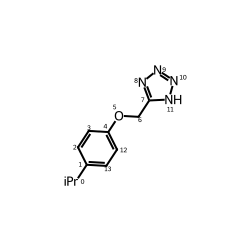 CC(C)c1ccc(OCc2nnn[nH]2)cc1